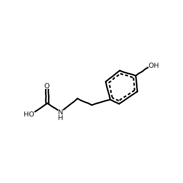 O=C(O)NCCc1ccc(O)cc1